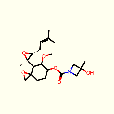 COC1C(OC(=O)N2CC(C)(O)C2)CCC2(CO2)C1[C@@]1(C)O[C@@H]1CC=C(C)C